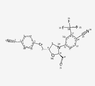 N#Cc1ccc(OC[C@@H]2CN(c3ccc(C#N)c(C(F)(F)F)c3)[C@@H](C=O)O2)cc1